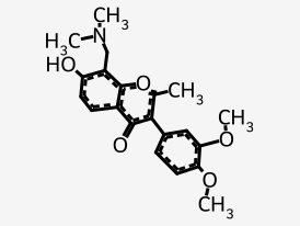 COc1ccc(-c2c(C)oc3c(CN(C)C)c(O)ccc3c2=O)cc1OC